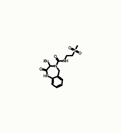 CCC(C)C1C(=O)Nc2ccccc2CN1C(=O)NCCS(C)(=O)=O